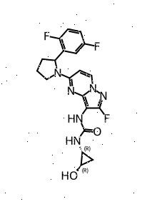 O=C(Nc1c(F)nn2ccc(N3CCCC3c3cc(F)ccc3F)nc12)N[C@@H]1C[C@H]1O